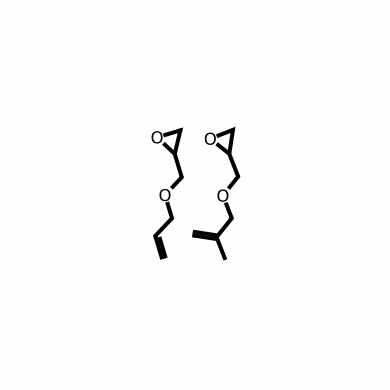 C=C(C)COCC1CO1.C=CCOCC1CO1